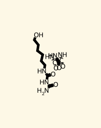 N=C=O.N=C=O.N=C=O.NC(=O)NC(=O)NCCCCCCO